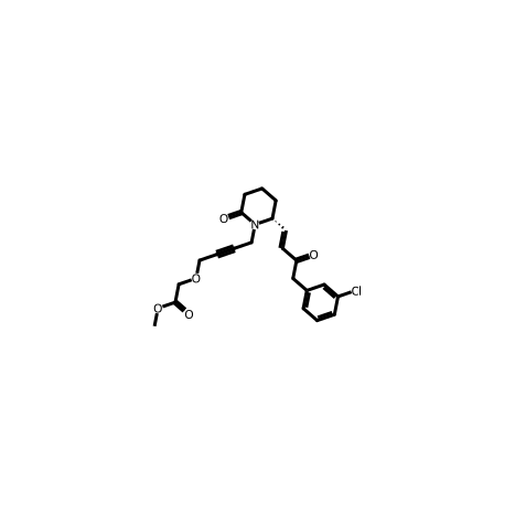 COC(=O)COCC#CCN1C(=O)CCC[C@@H]1C=CC(=O)Cc1cccc(Cl)c1